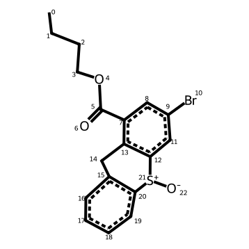 CCCCOC(=O)c1cc(Br)cc2c1Cc1ccccc1[S+]2[O-]